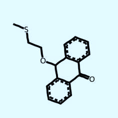 CSCCOC1c2ccccc2C(=O)c2ccccc21